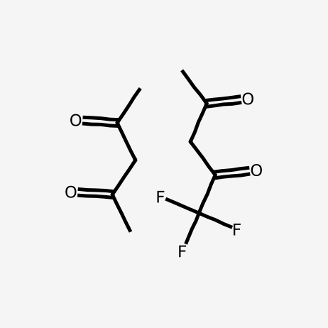 CC(=O)CC(=O)C(F)(F)F.CC(=O)CC(C)=O